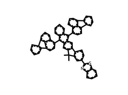 CC1(C)c2cc(-c3nc4ccccc4s3)ccc2-c2cc3c(-c4ccc5c6c(cccc46)-c4ccccc4-5)c4ccccc4c(-c4ccc5c6c(cccc46)-c4ccccc4-5)c3cc21